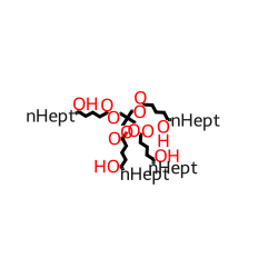 CCCCCCCC(O)CCCC(=O)OCC(COC(=O)CCCC(O)CCCCCCC)(COC(=O)CCCC(O)CCCCCCC)COC(=O)CCCC(O)CCCCCCC